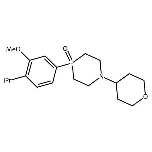 COc1cc(P2(=O)CCN(C3CCOCC3)CC2)ccc1C(C)C